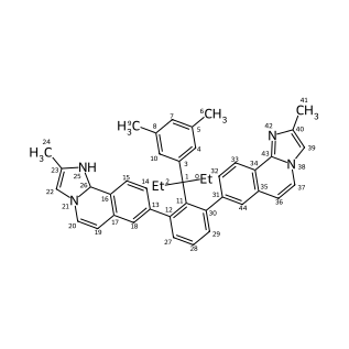 CCC(CC)(c1cc(C)cc(C)c1)c1c(-c2ccc3c(c2)C=CN2C=C(C)NC32)cccc1-c1ccc2c(ccn3cc(C)nc23)c1